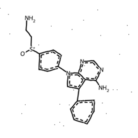 NCC[S+]([O-])c1ccc(-n2cc(-c3ccccc3)c3c(N)ncnc32)cc1